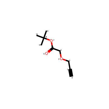 C#CCOCC(=O)OC(C)(C)C